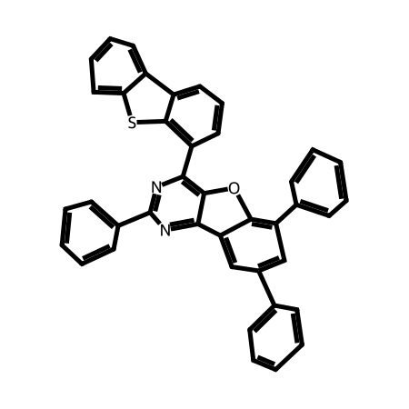 c1ccc(-c2cc(-c3ccccc3)c3oc4c(-c5cccc6c5sc5ccccc56)nc(-c5ccccc5)nc4c3c2)cc1